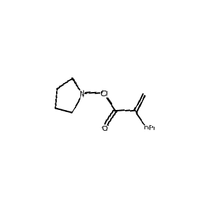 C=C(CCC)C(=O)ON1CCCC1